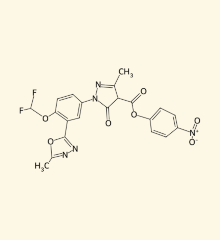 CC1=NN(c2ccc(OC(F)F)c(-c3nnc(C)o3)c2)C(=O)C1C(=O)Oc1ccc([N+](=O)[O-])cc1